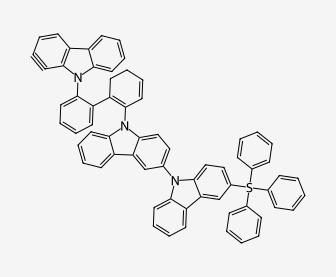 c1ccc2c3ccccc3n(-c3ccccc3C3=C(n4c5ccccc5c5cc(-n6c7ccccc7c7cc(S(c8ccccc8)(c8ccccc8)c8ccccc8)ccc76)ccc54)C=CCC3)c2c#1